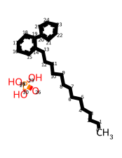 CCCCCCCCCCCCCCc1ccccc1-c1ccccc1.O=P(O)(O)O